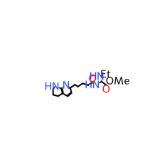 CCNC(NC(=O)CCCCc1ccc2c(n1)NCCC2)C(=O)OC